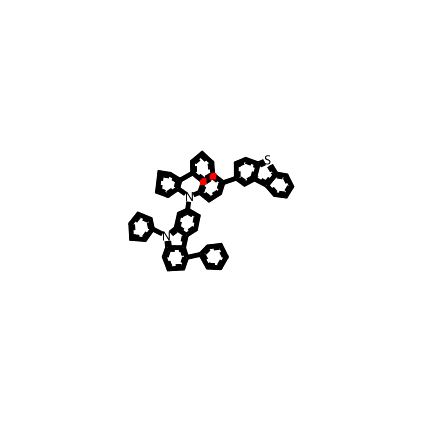 c1ccc(-c2ccccc2N(c2ccc(-c3ccc4sc5ccccc5c4c3)cc2)c2ccc3c4c(-c5ccccc5)cccc4n(-c4ccccc4)c3c2)cc1